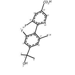 CC(C)(O)c1cc(F)c(-c2ncc(C(=O)O)cc2F)c(F)c1